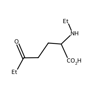 CCNC(CCC(=O)CC)C(=O)O